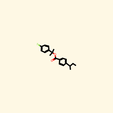 CCC(C)c1ccc(C(=O)OC(C)(C)c2ccc(F)cc2)cc1